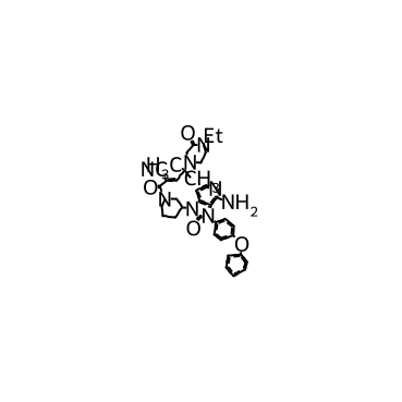 CCN1CCN(C(C)(C)C=C(C#N)C(=O)N2CCCC(n3c(=O)n(-c4ccc(Oc5ccccc5)cc4)c4c(N)nccc43)C2)CC1=O